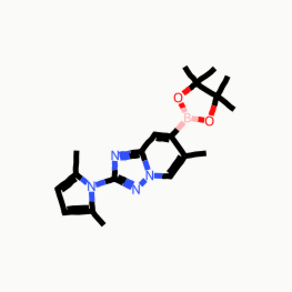 Cc1cn2nc(-n3c(C)ccc3C)nc2cc1B1OC(C)(C)C(C)(C)O1